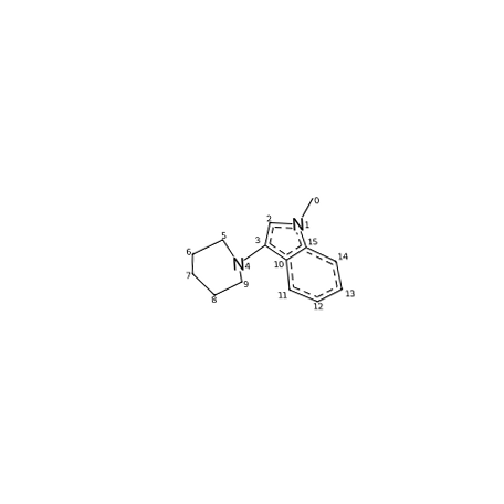 Cn1cc(N2CCCCC2)c2ccccc21